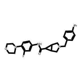 CC(C)c1ccc(CN2CC3C(C2)C3C(=O)Nc2ccc(N3CCOCC3)c(F)c2)cc1